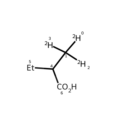 [2H]C([2H])([2H])C(CC)C(=O)O